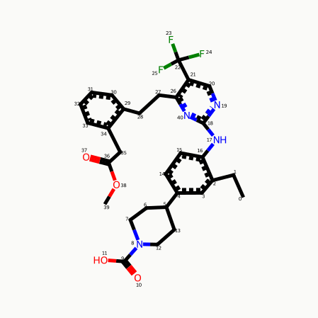 CCc1cc(C2CCN(C(=O)O)CC2)ccc1Nc1ncc(C(F)(F)F)c(CCc2ccccc2CC(=O)OC)n1